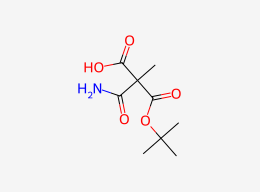 CC(C)(C)OC(=O)C(C)(C(N)=O)C(=O)O